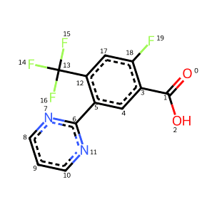 O=C(O)c1cc(-c2ncccn2)c(C(F)(F)F)cc1F